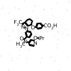 CC(C)Oc1cc(N(C)C(=O)c2cccc(-n3nc(C(F)(F)F)c4c3C(Oc3ccc(C(=O)O)cc3)CCC4)c2)ccn1